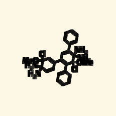 COC1(Cl)C=C(C2=C(c3ccccc3)C(Cl)(OC)C(N)(N)C(c3ccccc3)=C2)C=CC1(N)N